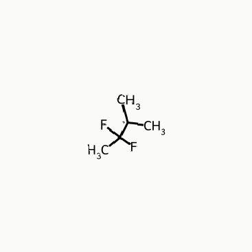 C[C](C)C(C)(F)F